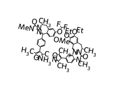 CCOc1cc2c(cc1OCC)CC(C)N(C(=O)N(C)c1ccc(-c3c(C)noc3C)cc1)N=C2.CNC(=O)N1N=C(c2ccc(-c3c(C)noc3C)cc2)c2cc(OC)c(OC(F)F)cc2CC1C